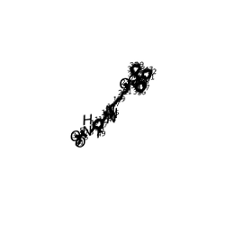 COC(=O)C(C)(C)NCc1ccc(-c2cn(CCCCCCC(=O)NOC(c3ccccc3)(c3ccccc3)c3ccccc3)nn2)cc1F